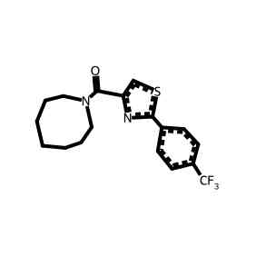 O=C(c1csc(-c2ccc(C(F)(F)F)cc2)n1)N1CCCCCCC1